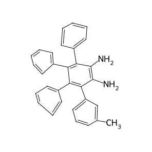 Cc1cccc(-c2c(N)c(N)c(-c3ccccc3)c(-c3ccccc3)c2-c2ccccc2)c1